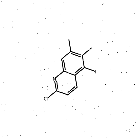 Cc1cc2nc(Cl)ccc2c(I)c1C